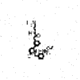 CCOC(=O)Nc1cccc(Cn2nc(-c3cccc(CC(=O)NCCCN)c3)ccc2=O)c1